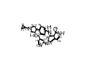 Cc1cc(Nc2nc(Nc3cc(CO)ccn3)cc3cc[nH]c(=O)c23)ccc1C1CCN(C2CC2)CC1